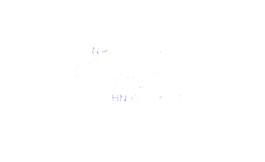 CC[C@@H]1CC[C@H]([C@@H](OC(=O)C2c3ccccc3-c3ccccc32)c2ccnc3ccccc23)NC1